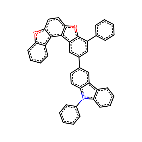 c1ccc(-c2cc(-c3ccc4c(c3)c3ccccc3n4-c3ccccc3)cc3c2oc2ccc4oc5ccccc5c4c23)cc1